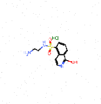 Cl.NCCNS(=O)(=O)c1cccc2c(O)nccc12